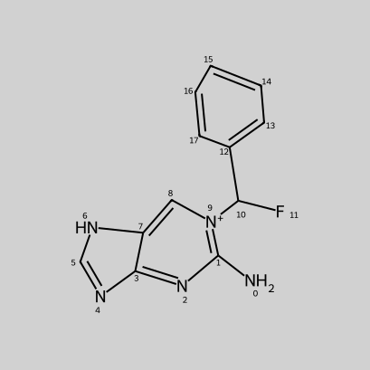 Nc1nc2nc[nH]c2c[n+]1C(F)c1ccccc1